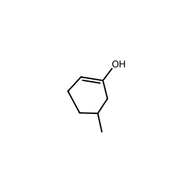 CC1CCC=C(O)C1